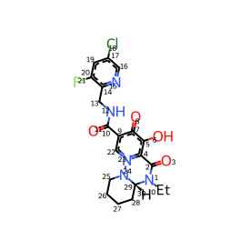 CCN1C(=O)c2c(O)c(=O)c(C(=O)NCc3ncc(Cl)cc3F)cn2N2CCCC[C@@H]12